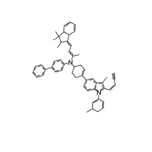 C#C/C=C\c1c(C)c2cc(C3=CCC(N(/C(C)=C/C=C4/C5C=CC=CC5C(C)(C)C4C)c4ccc(-c5ccccc5)cc4)CC3)ccc2n1C1=CC(C)CC=C1